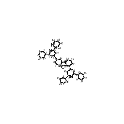 c1ccc(-c2nc(-c3ccc4oc5c(-c6cc(-c7ccccn7)nc(-c7ccccc7)n6)cccc5c4c3)cc(-c3ccccn3)n2)cc1